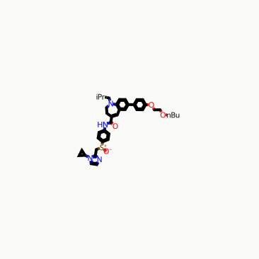 CCCCOCCOc1ccc(-c2ccc3c(c2)C=C(C(=O)Nc2ccc([S+]([O-])Cc4nccn4C4CC4)cc2)CCN3CC(C)C)cc1